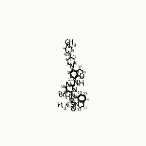 CN1CCN(C2CCN(c3ccc(Nc4ncc(Br)c(Nc5cccc6c5N(S(C)(=O)=O)CC6)n4)c4c3CCO4)CC2)CC1